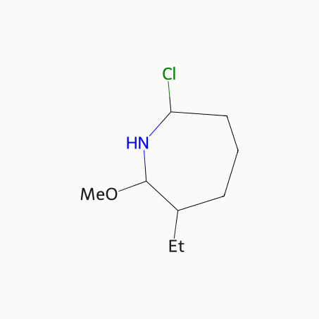 CCC1CCCC(Cl)NC1OC